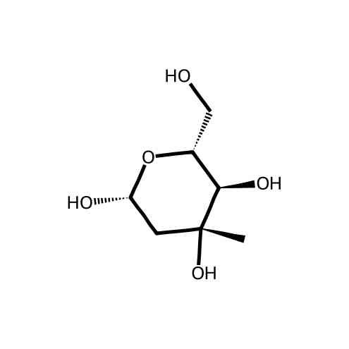 C[C@@]1(O)C[C@H](O)O[C@H](CO)[C@H]1O